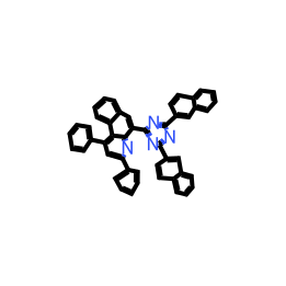 c1ccc(-c2cc(-c3ccccc3)c3c(n2)c(-c2nc(-c4ccc5ccccc5c4)nc(-c4ccc5ccccc5c4)n2)cc2ccccc23)cc1